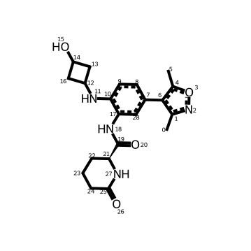 Cc1noc(C)c1-c1ccc(NC2CC(O)C2)c(NC(=O)[C@@H]2CCCC(=O)N2)c1